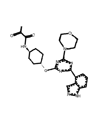 CC(=O)C(=O)N[C@H]1CC[C@H](Oc2nc(-c3cccc4[nH]ncc34)nc(N3CCOCC3)n2)CC1